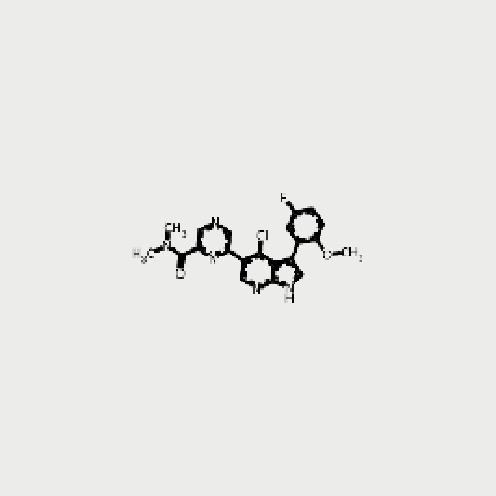 COc1ccc(F)cc1-c1c[nH]c2ncc(-c3cncc(C(=O)N(C)C)n3)c(Cl)c12